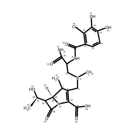 CC1C(CN(C)CC(NC(=O)c2ccc(O)c(O)c2Cl)C(N)=O)=C(C(=O)O)N2C(=O)C([C@@H](C)O)[C@@H]12